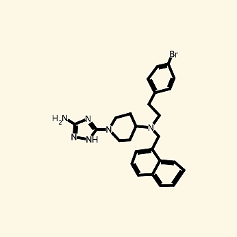 Nc1n[nH]c(N2CCC(N(CCc3ccc(Br)cc3)Cc3cccc4ccccc34)CC2)n1